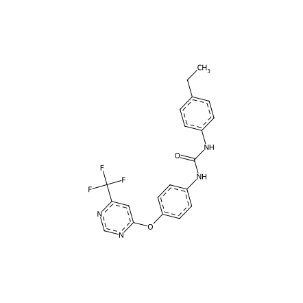 CCc1ccc(NC(=O)Nc2ccc(Oc3cc(C(F)(F)F)ncn3)cc2)cc1